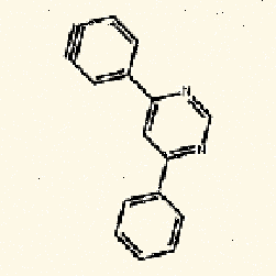 c1ccc(-c2cc(-c3ccccc3)ncn2)cc#1